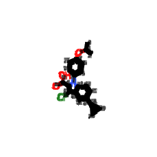 CC(C)Oc1ccc(-n2c(C(=O)O)c(Cl)c3cc(C4CC4)ccc32)cc1